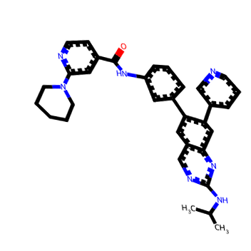 CC(C)Nc1ncc2cc(-c3cccc(NC(=O)c4ccnc(N5CCCCC5)c4)c3)c(-c3cccnc3)cc2n1